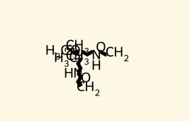 C=CC(=O)NCCC[Si](C)(CCCNC(=O)C=C)O[Si](C)(C)C